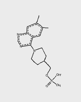 Cc1cc2ncnc(N3CCC(COP(=O)(O)O)CC3)c2cc1C